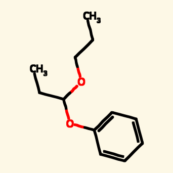 CCCOC(CC)Oc1ccccc1